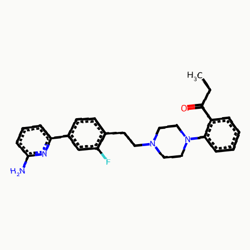 CCC(=O)c1ccccc1N1CCN(CCc2ccc(-c3cccc(N)n3)cc2F)CC1